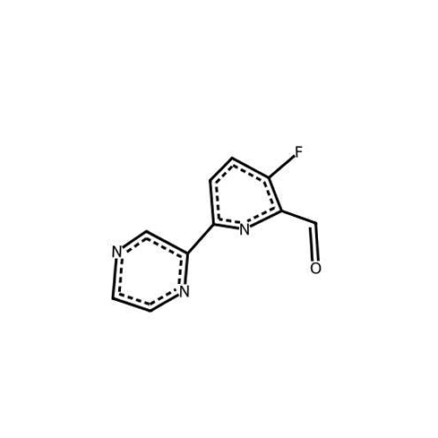 O=Cc1nc(-c2cnccn2)ccc1F